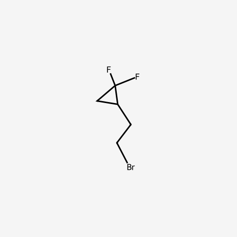 FC1(F)CC1CCBr